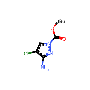 CC(C)(C)OC(=O)n1cc(Cl)c(N)n1